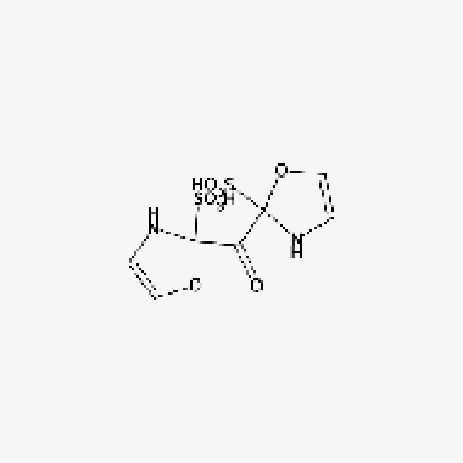 O=C(C1(S(=O)(=O)O)NC=CO1)C1(S(=O)(=O)O)NC=CO1